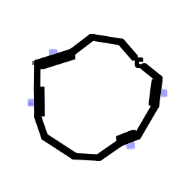 [C]1=C/CCC/C=C\C=C\CCC\C=C/1